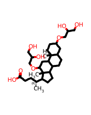 C[C@H](CCC(=O)O)C1CCC2C3CCC4CC(OCC(O)CO)CCC4(C)C3CC(OCC(O)CO)C21C